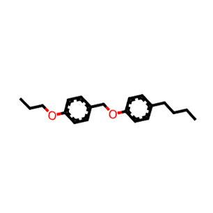 CCCCc1ccc(OCc2ccc(OCCC)cc2)cc1